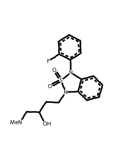 CNCC(O)CCN1c2ccccc2N(c2ccccc2F)S1(=O)=O